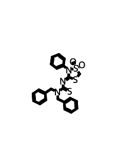 O=S1(=O)CSC(=NC(=S)N(Cc2ccccc2)Cc2ccccc2)N1c1ccccc1